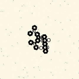 O=c1c2ccccc2oc2cc3c(=O)c4cccc(-n5c6ccc(N(c7ccccc7)c7ccccc7)cc6c6cc(N(c7ccccc7)c7ccccc7)ccc65)c4oc3cc12